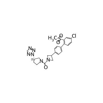 CS(=O)(=O)c1cc(Cl)ccc1-c1ccc(C2CN(C(=O)N3CC[C@H](n4ncnn4)C3)C2)cc1